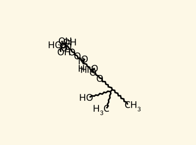 CCCCCCCCCCC(CCCCCCCOCCCOC(=O)NCCCCC(=O)NCCOCCOCCOC1OC(CO)[C@@H](O)C(O)C1O)C(CCCCCCCC)CCCCCCCCCO